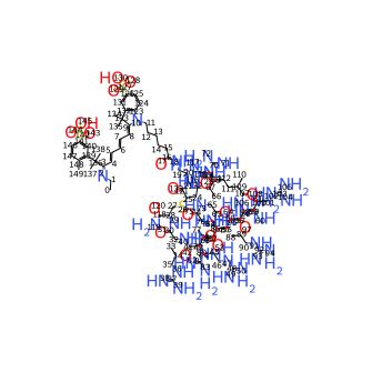 CC\N=C(/C=C/C=C/C=C1/N(CCCCCC(=O)NCCN2C(=O)CC(SC[C@@H](NC(=O)[C@@H](CCCNC(=N)N)NC(=O)[C@@H](CCCNC(=N)N)NC(=O)[C@@H](CCCNC(=N)N)NC(=O)[C@@H](CCCNC(=N)N)NC(=O)[C@@H](CCCNC(=N)N)NC(=O)[C@@H](CCCNC(=N)N)NC(=O)[C@@H](CCCNC(=N)N)NC(=O)[C@H](C)CCCNC(=N)N)C(N)=O)C2=O)c2ccc(S(=O)(=O)O)cc2C1(C)C)C(C)(C)c1cc(S(=O)(=O)O)ccc1C